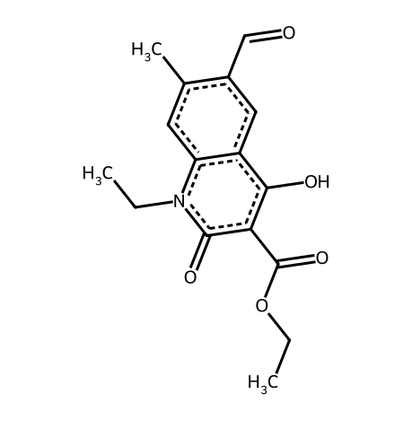 CCOC(=O)c1c(O)c2cc(C=O)c(C)cc2n(CC)c1=O